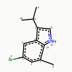 Cc1cc(Br)cc2c(C(C)C)c[nH]c12